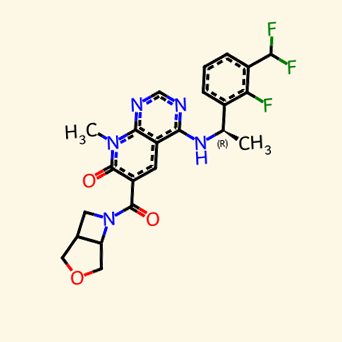 C[C@@H](Nc1ncnc2c1cc(C(=O)N1CC3COCC31)c(=O)n2C)c1cccc(C(F)F)c1F